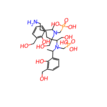 CC(c1cccc(CO)c1O)N(CP(=O)(O)O)C(CO)C(CO)(CCCCN)N(CP(=O)(O)O)C(C)c1cccc(CO)c1O